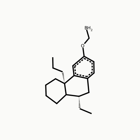 BCOc1ccc2c(c1)[C@]1(CCC)CCCCC1[C@@H](CC)C2